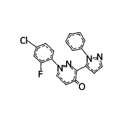 O=c1ccn(-c2ccc(Cl)cc2F)nc1-c1ccnn1-c1ccccc1